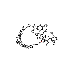 CO[C@H]1/C=C/O[C@@]2(C)Oc3c(C)c(O)c4c(c3C2=O)C(=O)C(NC2CCN(c3c(F)cn5c(=O)c(C)cc(C6CC6)c5c3C)C2)=C(NC(=O)/C(C)=C\C=C\[C@H](C)[C@H](O)[C@@H](C)[C@@H](O)[C@@H](C)[C@H](OC(C)=O)[C@@H]1C)C4=O